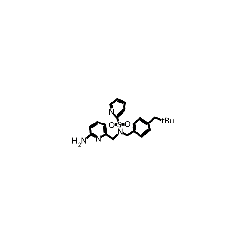 CC(C)(C)Cc1ccc(CN(Cc2cccc(N)n2)S(=O)(=O)c2ccccn2)cc1